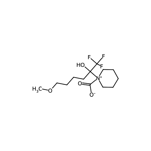 COCCCCC(O)(C(F)(F)F)[N+]1(C(=O)[O-])CCCCC1